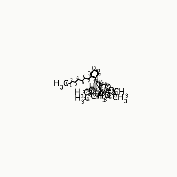 CCCCCCCCc1ccccc1CCC1(NC(=O)OC(C)(C)C)COP(=O)(OC(C)(C)C)OC1